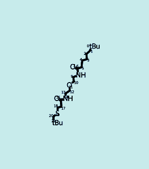 CC(C)(C)CCCCCC(=O)NCCOCCNC(=O)CCSCC(C)(C)C